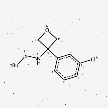 CC(C)(C)SNC1(c2cccc(Cl)c2)COC1